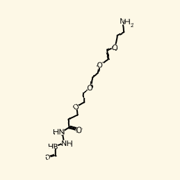 NCCOCCOCCOCCOCCC(=O)NNBC=O